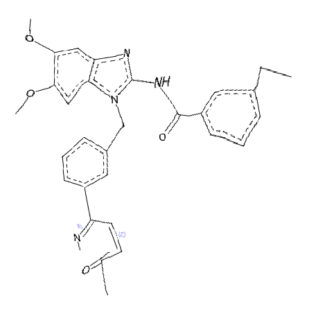 CCc1cccc(C(=O)Nc2nc3cc(OC)c(OC)cc3n2Cc2cccc(C(/C=C\C(C)=O)=N/C)c2)c1